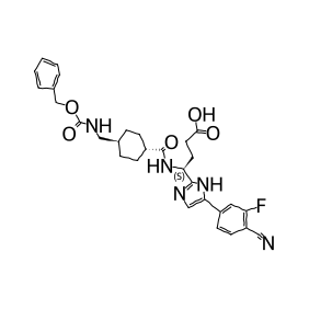 N#Cc1ccc(-c2cnc([C@H](CCC(=O)O)NC(=O)[C@H]3CC[C@H](CNC(=O)OCc4ccccc4)CC3)[nH]2)cc1F